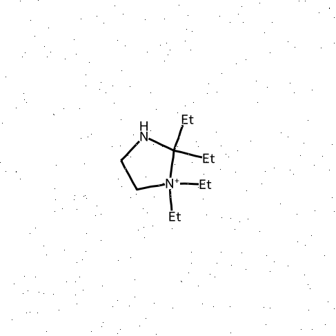 CCC1(CC)NCC[N+]1(CC)CC